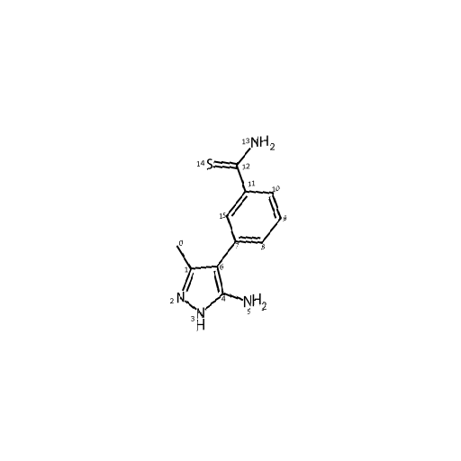 Cc1n[nH]c(N)c1-c1cccc(C(N)=S)c1